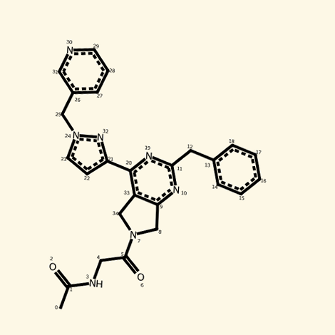 CC(=O)NCC(=O)N1Cc2nc(Cc3ccccc3)nc(-c3ccn(Cc4cccnc4)n3)c2C1